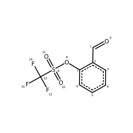 O=Cc1ccccc1OS(=O)(=O)C(F)(F)F